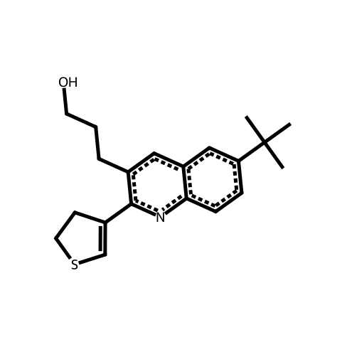 CC(C)(C)c1ccc2nc(C3=CSCC3)c(CCCO)cc2c1